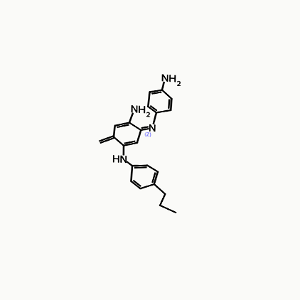 C=C1C=C(N)/C(=N\c2ccc(N)cc2)C=C1Nc1ccc(CCC)cc1